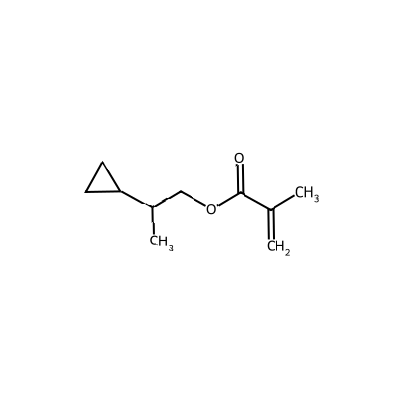 C=C(C)C(=O)OCC(C)C1CC1